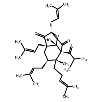 CC(C)=CCC[C@]1(C)[C@@H](CC=C(C)C)C[C@]2(CC=C(C)C)C(=O)[C@@]3(CC=C(C)C)O[C@]2(O)[C@]1(C(=O)C(C)C)C3=O